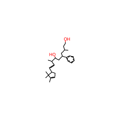 CC1=CCC(C=CC(C)C(O)CC(CC(C)CCO)c2ccccc2)C1(C)C